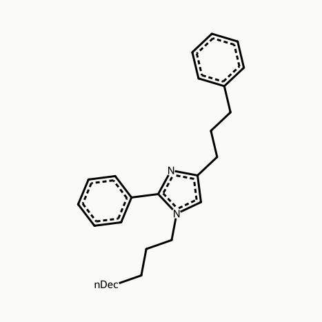 CCCCCCCCCCCCCn1cc(CCCc2ccccc2)nc1-c1ccccc1